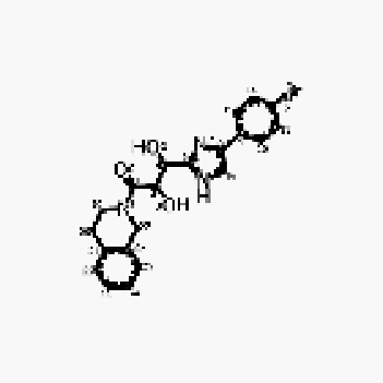 O=C(C(O)C(O)c1nc(-c2ccc(Br)cc2)c[nH]1)N1CCc2ccccc2C1